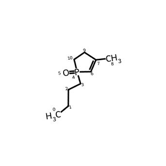 CCCCP1(=O)C=C(C)CC1